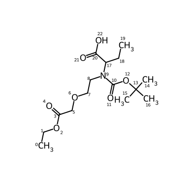 CCOC(=O)COCCN(C(=O)OC(C)(C)C)C(CC)C(=O)O